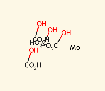 O=C(O)O.O=C(O)O.O=C(O)O.O=C(O)O.[Mo]